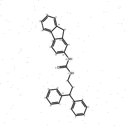 O=C(NCCC(c1ccccc1)c1ccccc1)Nc1ccc2c(c1)Cc1ccccc1-2